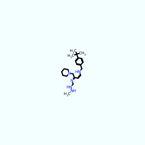 CNNC/N=C(\C=C/NCc1ccc(C(C)(C)C)cc1)CN1CCCCC1